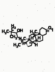 C[C@H](CCC(O)C(C)(C)C)[C@H]1CC[C@H]2[C@@H]3CCC4C[C@@H](OI)CC[C@]4(C)[C@H]3CC[C@]12C